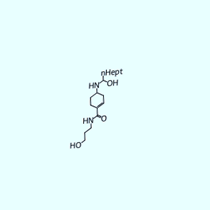 CCCCCCCC(O)NC1CC=C(C(=O)NCCCO)CC1